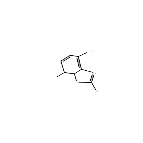 COC1=C2N=C(C(C)C)NC2C(C)C=C1